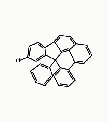 Clc1ccc2c(c1)C1(c3ccccc3)c3ccccc3-c3cccc4ccc-2c1c34